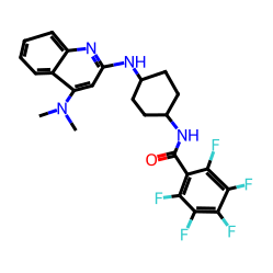 CN(C)c1cc(NC2CCC(NC(=O)c3c(F)c(F)c(F)c(F)c3F)CC2)nc2ccccc12